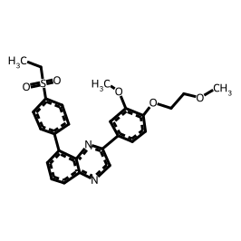 CCS(=O)(=O)c1ccc(-c2cccc3ncc(-c4ccc(OCCOC)c(OC)c4)nc23)cc1